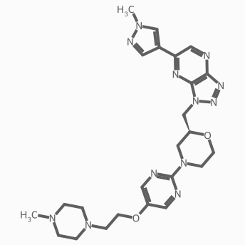 CN1CCN(CCOc2cnc(N3CCO[C@H](Cn4nnc5ncc(-c6cnn(C)c6)nc54)C3)nc2)CC1